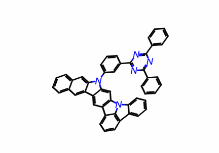 c1ccc(-c2nc(-c3ccccc3)nc(-c3cccc(-n4c5cc6ccccc6cc5c5cc6c7cccc8c9ccccc9n(c6cc54)c87)c3)n2)cc1